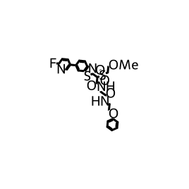 COCCS(=O)(=O)C(C(=O)NCC(=O)NCCOc1ccccc1)c1nc2ccc(-c3ccc(F)nc3)cc2s1